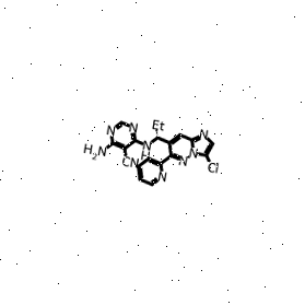 CC[C@@H](Nc1ncnc(N)c1C#N)c1cc2ncc(Cl)n2nc1-c1ccccn1